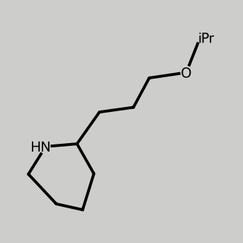 CC(C)OCCCC1CCCCN1